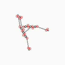 C=CC(=O)OCCCCCCCCCCOc1ccc(C(=O)Oc2ccc(OC(=O)c3ccc(OCCCCCCCCCCOC(=O)C=C)cc3)c(CCCCCCCc3cc(OC(=O)c4ccc(OCCCCCCCCCCOC(=O)C=C)cc4)ccc3OC(=O)c3ccc(OCCCCCCCCCCOC(=O)C=C)cc3)c2)cc1